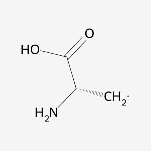 [CH2][C@H](N)C(=O)O